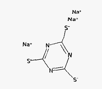 [Na+].[Na+].[Na+].[S-]c1nc([S-])nc([S-])n1